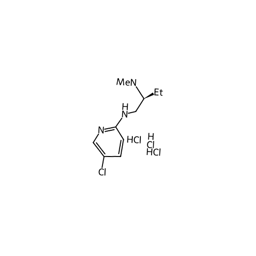 CC[C@@H](CNc1ccc(Cl)cn1)NC.Cl.Cl.Cl